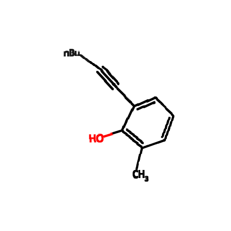 CCCCC#Cc1cccc(C)c1O